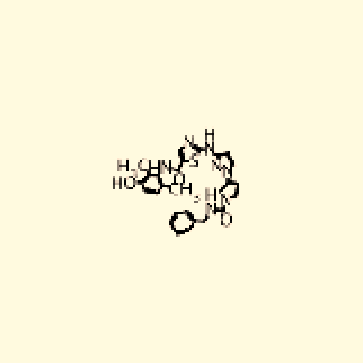 Cc1ccc(O)c(C)c1NC(=O)c1cnc(Nc2ccn([C@@H]3CCN(C(=O)NCc4ccccc4)C3)n2)s1